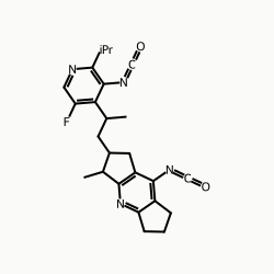 CC(C)c1ncc(F)c(C(C)CC2Cc3c(nc4c(c3N=C=O)CCC4)C2C)c1N=C=O